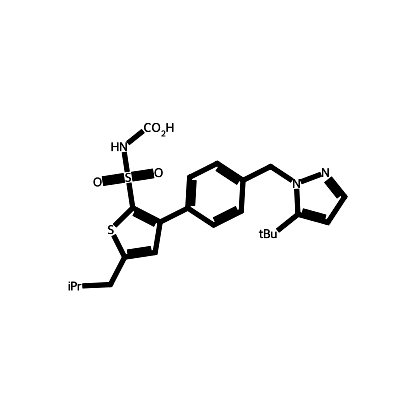 CC(C)Cc1cc(-c2ccc(Cn3nccc3C(C)(C)C)cc2)c(S(=O)(=O)NC(=O)O)s1